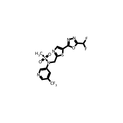 CS(=O)(=O)N(Cc1ncc(-c2nnc(C(F)F)o2)s1)c1cncc(C(F)(F)F)c1